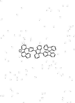 c1ccc2c(c1)-c1ccccc1C21c2ccccc2-c2ccc(-c3c4ccccc4c(-c4ccc(-c5cccc6oc7ccc8ccccc8c7c56)cc4)c4ccccc34)cc21